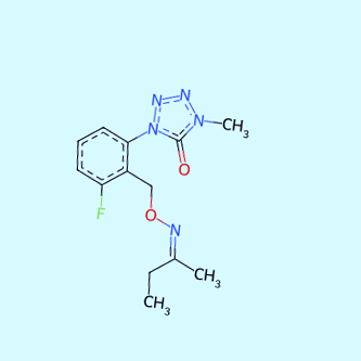 CCC(C)=NOCc1c(F)cccc1-n1nnn(C)c1=O